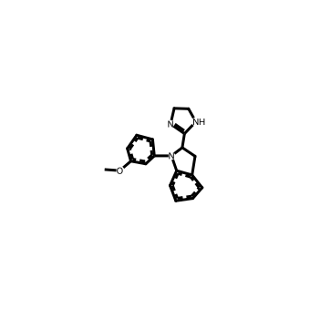 COc1cccc(N2c3ccccc3CC2C2=NCCN2)c1